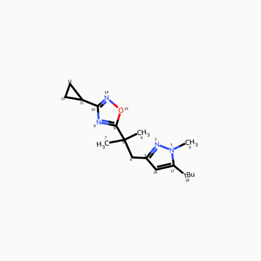 Cn1nc(CC(C)(C)c2nc(C3CC3)no2)cc1C(C)(C)C